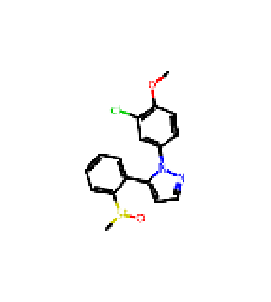 COc1ccc(-n2nccc2-c2ccccc2[S+](C)[O-])cc1Cl